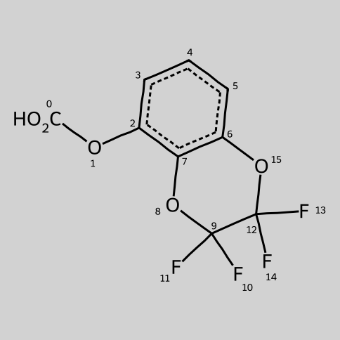 O=C(O)Oc1cccc2c1OC(F)(F)C(F)(F)O2